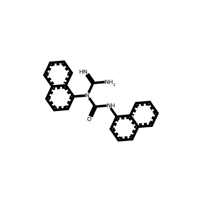 N=C(N)N(C(=O)Nc1cccc2ccccc12)c1cccc2ccccc12